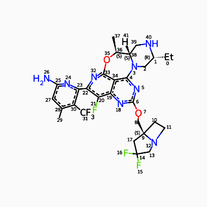 CC[C@@H]1CN2c3nc(OC[C@@]45CCN4CC(F)(F)C5)nc4c(F)c(-c5nc(N)cc(C)c5C(F)(F)F)nc(c34)O[C@@H](C)[C@@H]2CN1